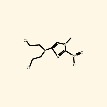 Cn1cc(N(CCCl)CCCl)nc1[N+](=O)[O-]